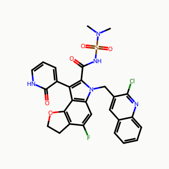 CN(C)S(=O)(=O)NC(=O)c1c(-c2ccc[nH]c2=O)c2c3c(c(F)cc2n1Cc1cc2ccccc2nc1Cl)CCO3